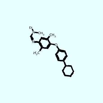 CCN(C)/C=N\c1cc(C)c(Oc2ccc(C3CCCCC3)cc2)cc1C